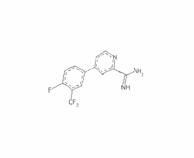 N=C(N)c1cc(-c2ccc(F)c(C(F)(F)F)c2)ccn1